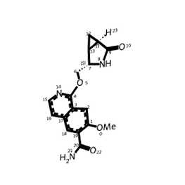 COc1cc2c(OC[C@H]3NC(=O)[C@@H]4CC34)nccc2cc1C(N)=O